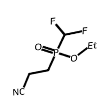 CCOP(=O)(CCC#N)C(F)F